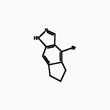 Brc1c2c(cc3[nH]ncc13)CCC2